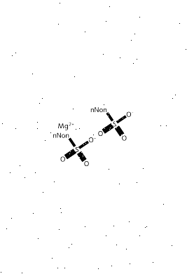 CCCCCCCCCS(=O)(=O)[O-].CCCCCCCCCS(=O)(=O)[O-].[Mg+2]